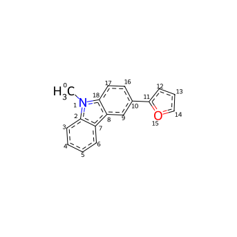 Cn1c2ccccc2c2cc(-c3ccco3)ccc21